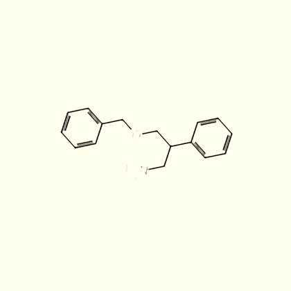 NCC(COCc1ccccc1)c1ccccc1